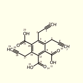 C#CCc1c(CC#C)c(C(=O)O)c(C(=O)O)c(CC#C)c1C(=O)O